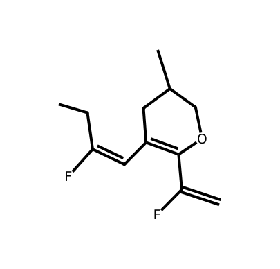 C=C(F)C1=C(/C=C(/F)CC)CC(C)CO1